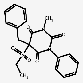 CCS(=O)(=O)C1(Cc2ccccc2)C(=O)N(C)C(=O)N(c2ccccc2)C1=O